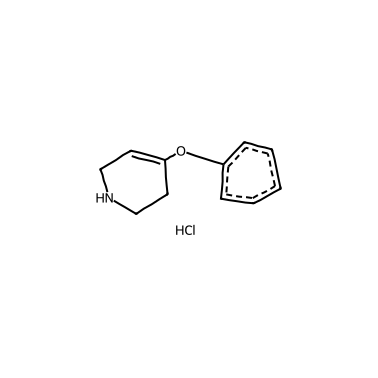 C1=C(Oc2ccccc2)CCNC1.Cl